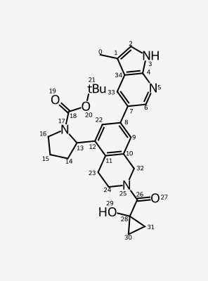 Cc1c[nH]c2ncc(-c3cc4c(c(C5CCCN5C(=O)OC(C)(C)C)c3)CCN(C(=O)C3(O)CC3)C4)cc12